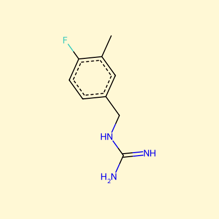 Cc1cc(CNC(=N)N)ccc1F